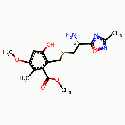 COC(=O)c1c(C)c(OC)cc(O)c1CSC[C@H](N)c1nc(C)no1